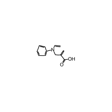 C=CN(CC(=C)C(=O)O)c1ccccc1